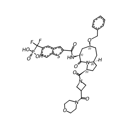 O=C(N[C@H]1C[C@@H](OCc2ccccc2)CC[C@H]2CC[C@@H](C(=O)N3CC(C(=O)N4CCOCC4)C3)N2C1=O)c1cc2cc(C(F)(F)P(=O)(O)O)ccc2s1